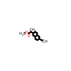 C#Cc1ccc2cc(C(C)C(=O)OC)ccc2c1